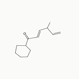 C=CC(C)/C=C/C(=O)C1CCCCC1